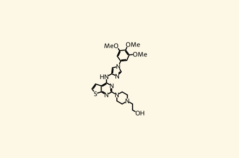 COc1cc(-n2cnc(Nc3nc(N4CCN(CCO)CC4)nc4sccc34)c2)cc(OC)c1OC